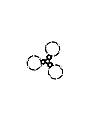 c1c2c(cc3c1c1cc4c(cc1c1cc5c(cc31)OCCOCCOCCOCCOCCO5)OCCOCCOCCOCCOCCO4)OCCOCCOCCOCCOCCO2